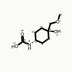 COC[C@]1(O)CC[C@H](NC(=O)O)CC1